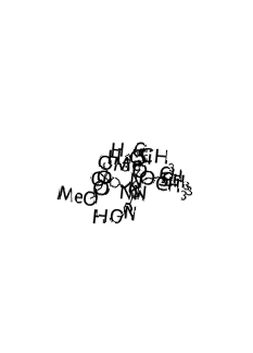 COCCOC(=O)C1(OCCOC)CCC(c2cc(N(COCC[Si](C)(C)C)COCC[Si](C)(C)C)n3ncc(-c4ccc(CO)nc4)c3n2)CC1